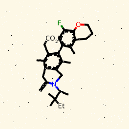 C=C1Cc2c(C)c(CC(=O)O)c(-c3cc(F)c4c(c3C)CCCO4)c(C)c2CN1C(C)C(C)(C)CC